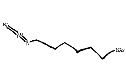 CC(C)(C)CCCCCCN=[N+]=[N-]